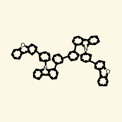 c1cc(-c2cccc(-c3cccc4c5ccccc5n(-c5cccc(-c6ccc7oc8ccccc8c7c6)c5)c34)c2)cc(-c2cccc3c4ccccc4n(-c4cccc(-c5ccc6oc7ccccc7c6c5)c4)c23)c1